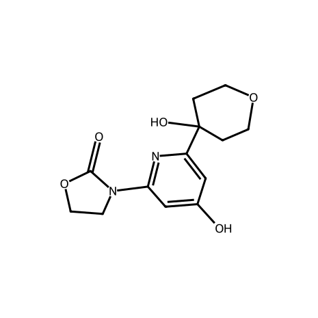 O=C1OCCN1c1cc(O)cc(C2(O)CCOCC2)n1